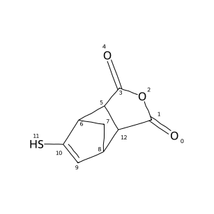 O=C1OC(=O)C2C3CC(C=C3S)C12